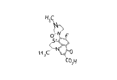 C[C@@H]1C[S+]([O-])c2c(N3CCN(C)CC3)c(F)cc3c(=O)c(C(=O)O)cn1c23